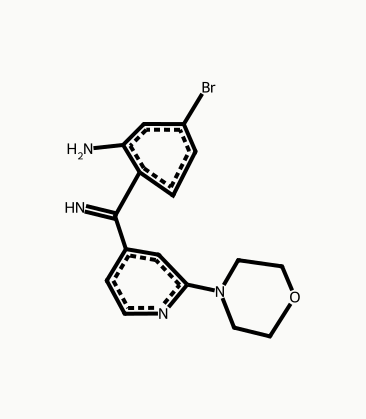 N=C(c1ccnc(N2CCOCC2)c1)c1ccc(Br)cc1N